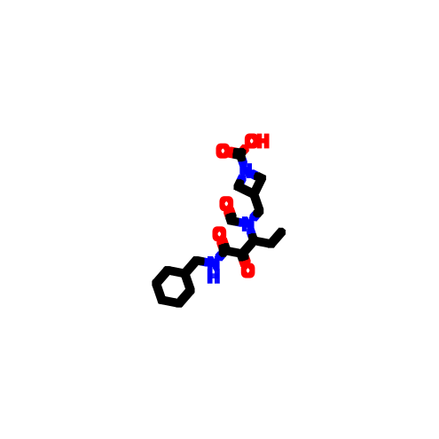 CCC(C(=O)C(=O)NCC1CCCCC1)N(C=O)CC1CN(C(=O)O)C1